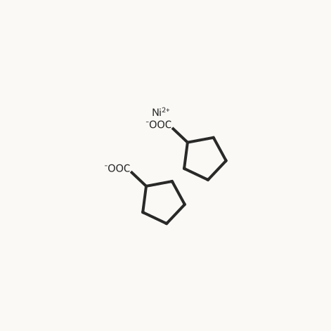 O=C([O-])C1CCCC1.O=C([O-])C1CCCC1.[Ni+2]